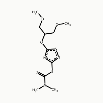 COCC(COC)Oc1nc(SC(=O)N(C)C)ns1